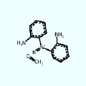 C=O.[N-]=[N+](c1ccccc1N)c1ccccc1N